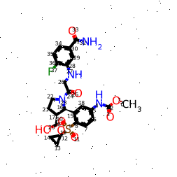 COC(=O)Nc1ccc(S(=O)(=O)C2CC2)c([C@H]2[C@@H](C(=O)O)CCN2C(=O)CNc2cc(C(N)=O)ccc2F)c1